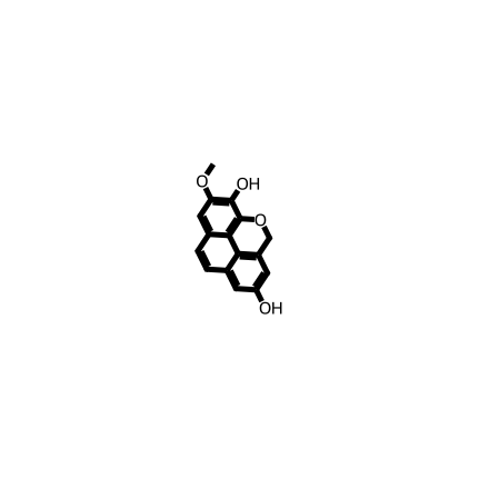 COc1cc2ccc3cc(O)cc4c3c2c(c1O)OC4